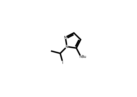 CCCCc1ccnn1C(C)I